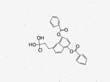 O=C(Oc1ccc(OC(=O)c2ccccc2)c2cc(CCC(O)(O)Cl)ccc12)c1ccccc1